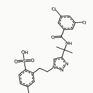 Cc1ccc(S(=O)(=O)O)c(CCn2cc(C(C)(C)NC(=O)c3cc(Cl)cc(Cl)c3)nn2)c1